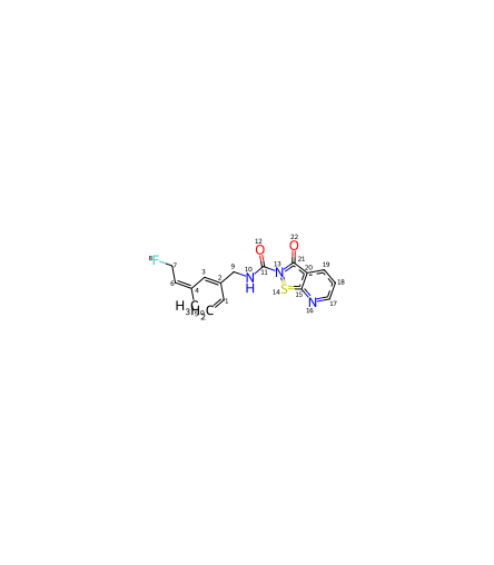 C=C/C(=C\C(C)=C/CF)CNC(=O)n1sc2ncccc2c1=O